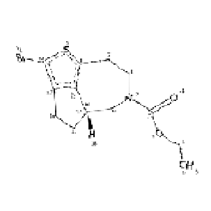 CCOC(=O)N1CCc2sc(Br)c3c2[C@@H](CC3)C1